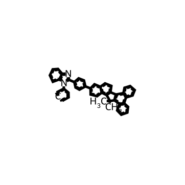 CC1(C)c2c(ccc3cc(-c4ccc(-c5nc6ccccc6n5-c5ccccc5)cc4)ccc23)-c2c1c1ccccc1c1ccccc21